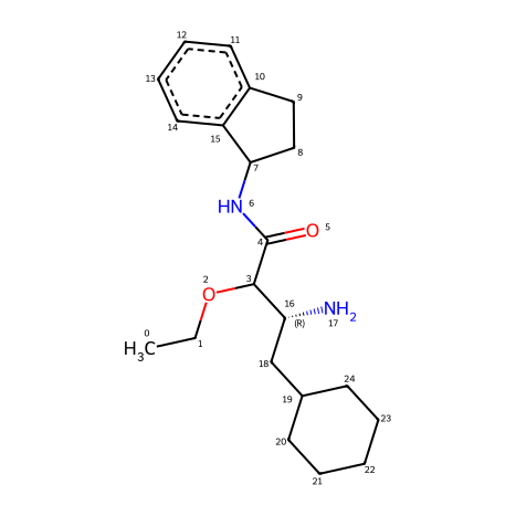 CCOC(C(=O)NC1CCc2ccccc21)[C@H](N)CC1CCCCC1